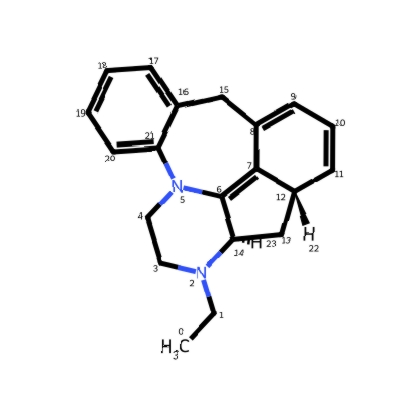 CCN1CCN2C3=C4C(=CC=C[C@@H]4C[C@H]31)Cc1ccccc12